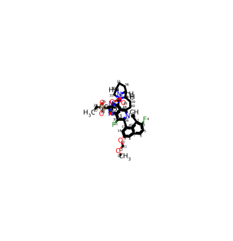 C#Cc1c(F)ccc2cc(OCOC)cc(-c3nc4c5c(nc(S(=O)(=O)CC)nc5c3F)N3C[C@H]5CC[C@@H]([C@H]3CC4)N5C(=O)OC(C)(C)C)c12